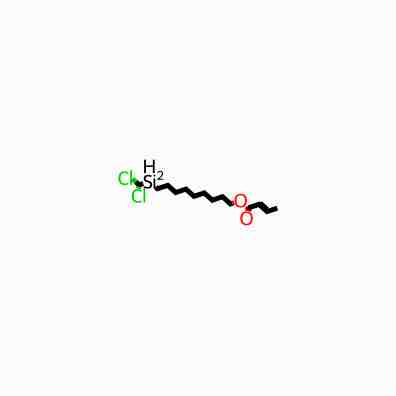 CC=CC(=O)OCCCCCCCCC[SiH2]C(Cl)Cl